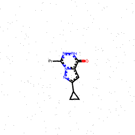 CC(C)c1n[nH]c(=O)c2cc(C3CC3)nn12